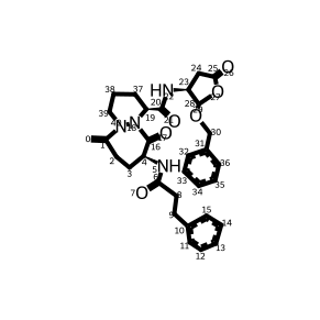 C=C1CC[C@H](NC(=O)CCc2ccccc2)C(=O)N2[C@H](C(=O)N[C@H]3CC(=O)OC3OCc3ccccc3)CCCN12